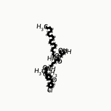 CC/C=C\C/C=C\C/C=C\C/C=C\C/C=C\C/C=C\CCC(=O)NC(CCCCNC(=O)C(C)(C)Oc1ccc(C(=O)c2ccc(Cl)cc2)cc1)C(=O)OCC(CO)CO